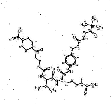 CC(C)C(NC(=O)CCCC(=O)N1CCC(C(=O)O)CC1)C(=O)N[C@@H](CCCNC(N)=O)C(=O)Nc1ccc(COC(=O)NCC(=O)C(C)(C)C)cc1